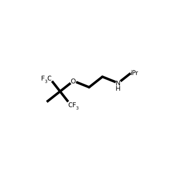 CC(C)NCCOC(C)(C(F)(F)F)C(F)(F)F